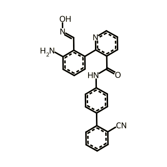 N#Cc1ccccc1-c1ccc(NC(=O)c2cccnc2-c2cccc(N)c2C=NO)cc1